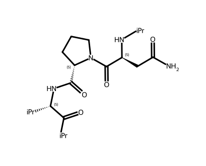 CC(C)N[C@@H](CC(N)=O)C(=O)N1CCC[C@H]1C(=O)N[C@H](C(=O)C(C)C)C(C)C